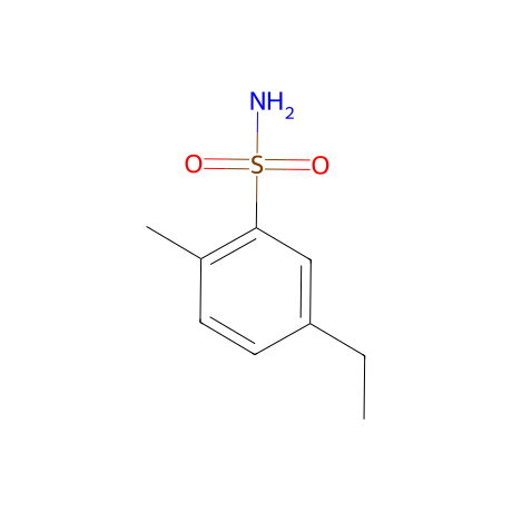 CCc1ccc(C)c(S(N)(=O)=O)c1